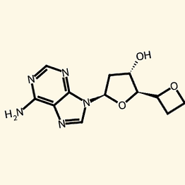 Nc1ncnc2c1ncn2[C@H]1C[C@H](O)[C@@H](C2CCO2)O1